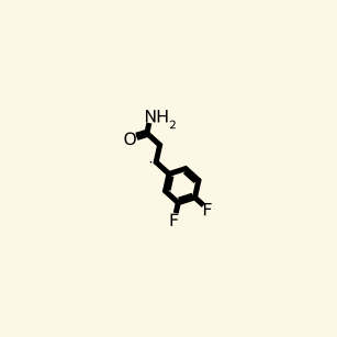 NC(=O)C[CH]c1ccc(F)c(F)c1